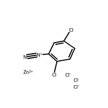 N#[N+]c1cc(Cl)ccc1Cl.[Cl-].[Cl-].[Cl-].[Zn+2]